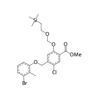 COC(=O)c1cc(Cl)c(COc2cccc(Br)c2C)cc1OCOCC[Si](C)(C)C